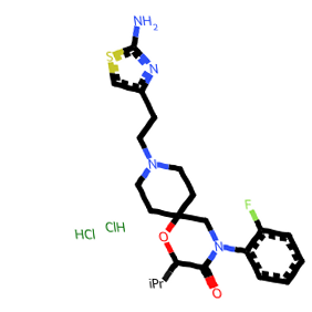 CC(C)C1OC2(CCN(CCc3csc(N)n3)CC2)CN(c2ccccc2F)C1=O.Cl.Cl